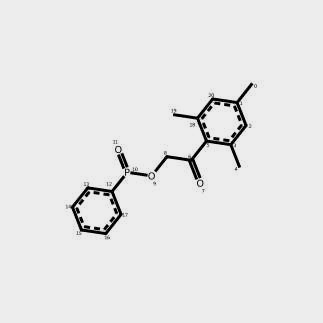 Cc1cc(C)c(C(=O)CO[P](=O)c2ccccc2)c(C)c1